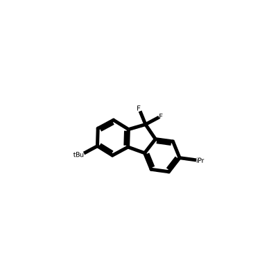 CC(C)c1ccc2c(c1)C(F)(F)c1ccc(C(C)(C)C)cc1-2